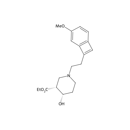 CCOC(=O)[C@@H]1CN(CCC2=Cc3ccc(OC)cc32)CC[C@@H]1O